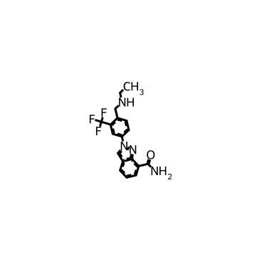 CCNCc1ccc(-n2cc3cccc(C(N)=O)c3n2)cc1C(F)(F)F